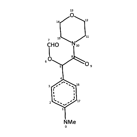 CNc1ccc(C(OC=O)C(=O)N2CCOCC2)cc1